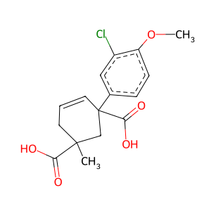 COc1ccc(C2(C(=O)O)C=CCC(C)(C(=O)O)C2)cc1Cl